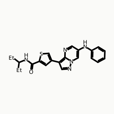 CCC(CC)NC(=O)c1cc(-c2cnn3cc(Nc4ccccc4)cnc23)cs1